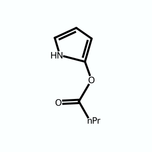 CCCC(=O)Oc1ccc[nH]1